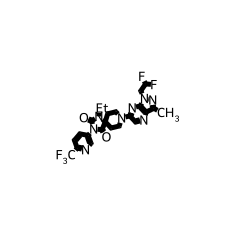 CCN1C(=O)N(c2ccc(C(F)(F)F)nc2)C(=O)C12CCN(c1cnc3c(C)nn(CC(F)F)c3n1)CC2